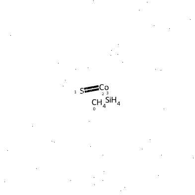 C.[S]=[Co].[SiH4]